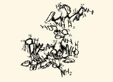 C[C@@H](O)[C@H](NC(=O)[C@H](CS)NC(=O)[C@@H](N)Cc1c[nH]cn1)C(=O)N1CCC[C@H]1C(=O)N[C@@H](CC(N)=O)C(=O)N[C@@H](CO)C(=O)N[C@@H](CC(N)=O)C(=O)N[C@@H](Cc1c[nH]cn1)C(=O)N[C@@H](CS)C(=O)N[C@@H](Cc1c[nH]c2ccccc12)C(=O)O